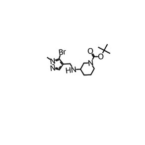 Cn1ncc(CNC2CCCN(C(=O)OC(C)(C)C)C2)c1Br